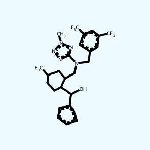 Cn1nnc(N(Cc2cc(C(F)(F)F)cc(C(F)(F)F)c2)CC2CC(C(F)(F)F)CCC2C(O)c2ccccc2)n1